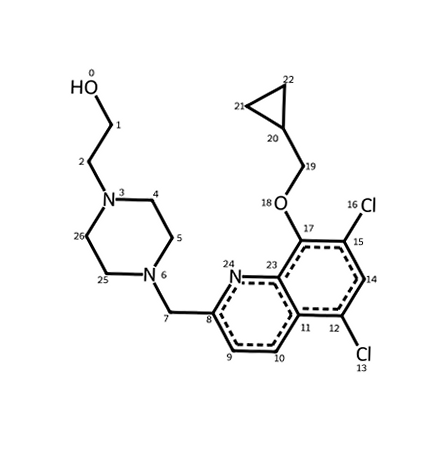 OCCN1CCN(Cc2ccc3c(Cl)cc(Cl)c(OCC4CC4)c3n2)CC1